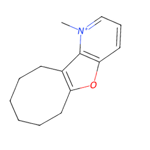 C[n+]1cccc2oc3c(c21)CCCCCC3